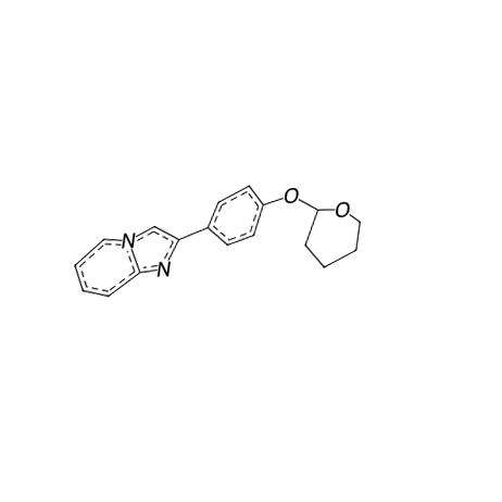 c1ccn2cc(-c3ccc(OC4CCCCO4)cc3)nc2c1